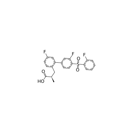 C[C@H](Cc1ccc(F)cc1-c1ccc(S(=O)(=O)c2ccccc2F)c(F)c1)C(=O)O